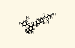 Cc1cc(F)ccc1Oc1cc(C(F)(F)F)c(Cl)cc1C(=O)NC(/C=N\N(C)COC(=O)C(O)CC(=O)O)=C/C=O